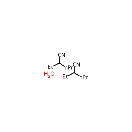 CCCC(C#N)CC.CCCC(C#N)CC.O